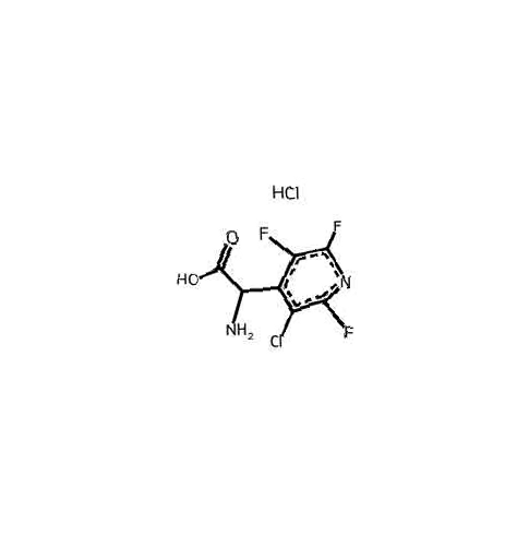 Cl.NC(C(=O)O)c1c(F)c(F)nc(F)c1Cl